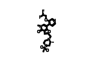 C[C@@H]1CN(S(C)(=O)=O)CCN1Cc1cc2c(=O)n(C)cc(-c3ccncc3OCC(F)F)c2o1